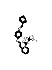 CC(C)(C)OC(=O)N1CCCCC1CCOc1ccc(OCc2ccccc2)cc1